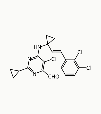 O=Cc1nc(C2CC2)nc(NC2(/C=C/c3cccc(Cl)c3Cl)CC2)c1Cl